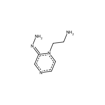 NCCn1ccncc1=NN